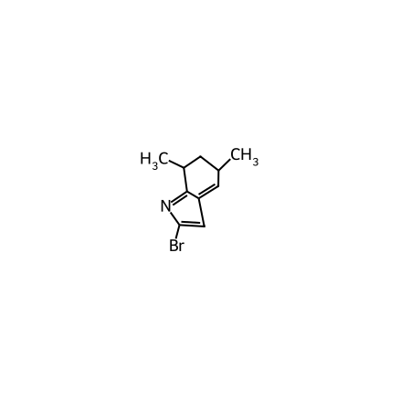 CC1C=C2C=C(Br)N=C2C(C)C1